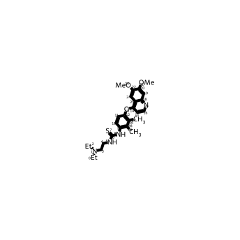 CCN(CC)CCNC(=S)Nc1ccc(Oc2ccnc3cc(OC)c(OC)cc23)c(C)c1C